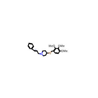 COc1ccc(CSC2CCN(C/C=C/c3ccccc3)CC2)c(OC)c1OC